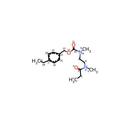 CCC(=O)N(C)CCN(C)C(=O)OCc1ccc(CC)cc1